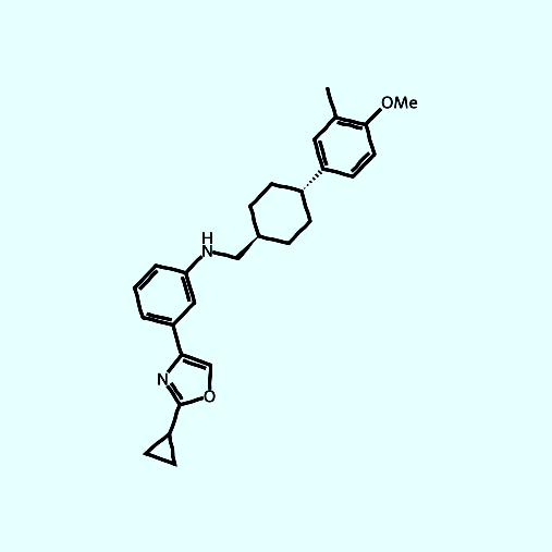 COc1ccc([C@H]2CC[C@H](CNc3cccc(-c4coc(C5CC5)n4)c3)CC2)cc1C